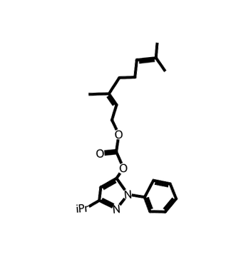 CC(C)=CCC/C(C)=C/COC(=O)Oc1cc(C(C)C)nn1-c1ccccc1